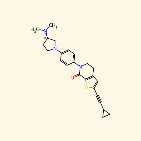 CN(C)[C@@H]1CCN(c2ccc(N3CCc4cc(C#CC5CC5)sc4C3=O)cc2)C1